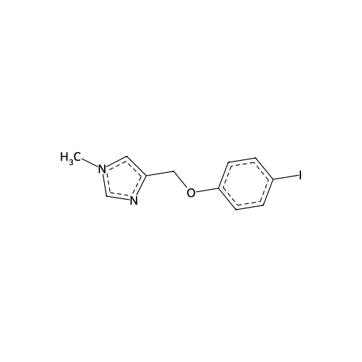 Cn1cnc(COc2ccc(I)cc2)c1